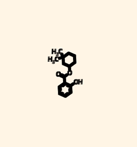 CC1(C)CCCC(OC(=O)c2ccccc2O)C1